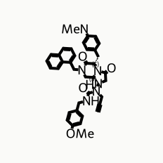 C#CCN(C(=O)NCc1ccc(OC)cc1)N1CC(=O)N2[C@@H](Cc3ccc(NC)cc3)C(=O)N(Cc3cccc4ccccc34)C[C@@H]21